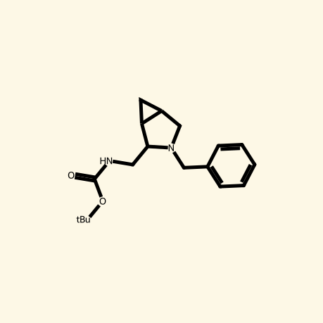 CC(C)(C)OC(=O)NCC1C2CC2CN1Cc1ccccc1